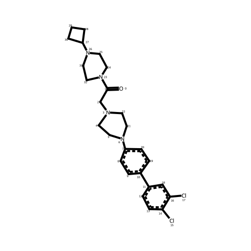 O=C(CN1CCN(c2ccc(-c3ccc(Cl)c(Cl)c3)cc2)CC1)N1CCN(C2CCC2)CC1